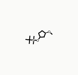 CO[C@@H]1CCC(O[Si](C)(C)C(C)(C)C)C1